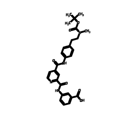 CN(CCc1ccc(NC(=O)c2ccnc(C(=O)Nc3cccc(C(=O)O)c3)c2)cc1)C(=O)OC(C)(C)C